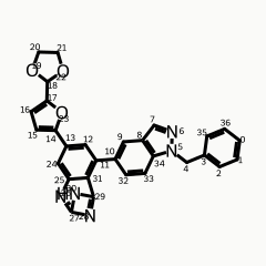 c1ccc(Cn2ncc3cc(-c4cc(-c5ccc(C6OCCO6)o5)cc5nc6nc([nH]6)c45)ccc32)cc1